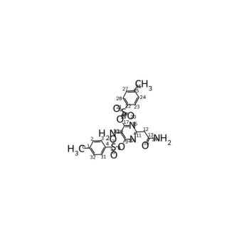 Cc1ccc(S(=O)(=O)Oc2nc(CC(N)=O)nc(OS(=O)(=O)c3ccc(C)cc3)c2N)cc1